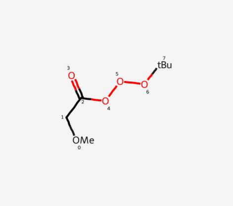 COCC(=O)OOOC(C)(C)C